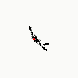 CCCCCN(CCCCC)CCOC(=O)C(C)(CC1CC1(C)C(=O)OCCOCCC(C)C)C(C)C